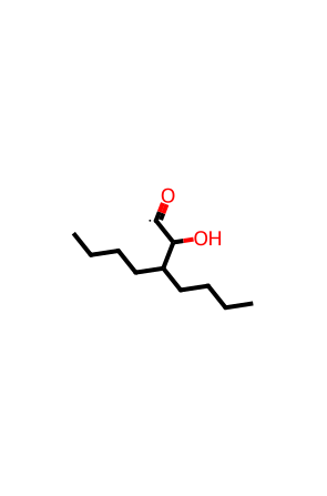 CCCCC(CCCC)C(O)[C]=O